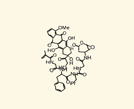 C=C(C)C(=O)NCC(=O)NC(Cc1ccccc1)C(=O)NC(CC(C)C)C(=O)NCC(=O)NC1CC(O[C@@H]2CC(O)(C(=O)CO)Cc3c(O)c4c(c(O)c32)C(=O)c2c(OC)cccc2C4=O)OC2OC12